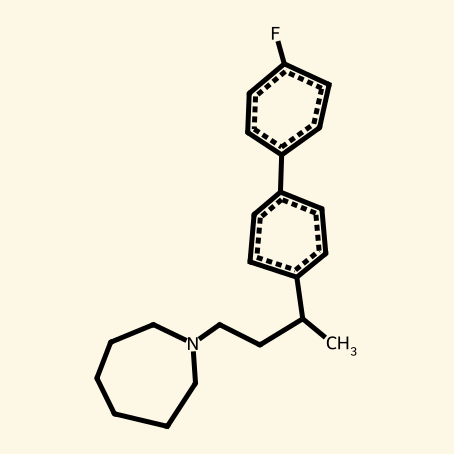 CC(CCN1CCCCCC1)c1ccc(-c2ccc(F)cc2)cc1